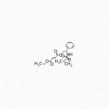 CCOC(=O)/C=C/C(=O)OCC(NS(=O)(=O)C(C)C)c1ccccc1